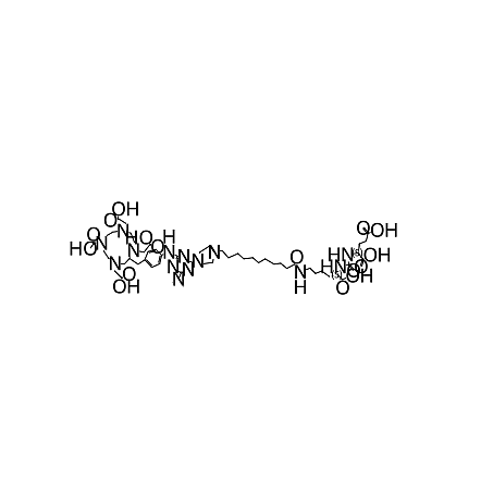 CN(C)c1nc(Nc2ccc(CC3CN(CC(=O)O)CCN(C(=O)O)CCN(CC(=O)O)CCN3CC(=O)O)cc2)nc(N2CCN(CCCCCCCCCCC(=O)NCCCC[C@H](NC(=O)N[C@@H](CCC(=O)O)C(=O)O)C(=O)O)CC2)n1